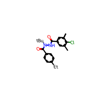 CCc1ccc(C(=O)N(NC(=O)c2cc(C)c(Cl)c(C)c2)C(C)(C)C)cc1